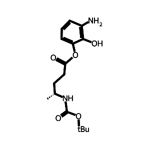 C[C@H](CCC(=O)Oc1cccc(N)c1O)NC(=O)OC(C)(C)C